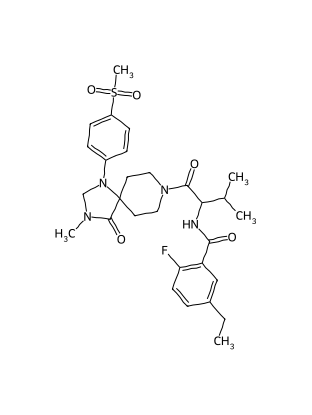 CCc1ccc(F)c(C(=O)NC(C(=O)N2CCC3(CC2)C(=O)N(C)CN3c2ccc(S(C)(=O)=O)cc2)C(C)C)c1